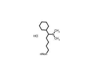 CCCCCCCCCCCCCC(C1CCCCC1)N(C)C.Cl